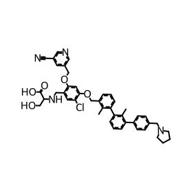 Cc1c(COc2cc(OCc3cncc(C#N)c3)c(CNC(CO)C(=O)O)cc2Cl)cccc1-c1cccc(-c2ccc(CN3CCCC3)cc2)c1C